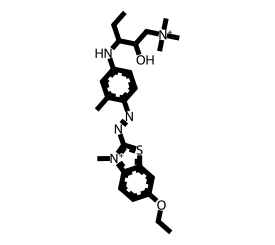 CCOc1ccc2c(c1)sc(N=Nc1ccc(NC(CC)C(O)C[N+](C)(C)C)cc1C)[n+]2C